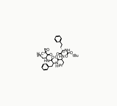 CC(C)CC(NC(=O)[C@H](CCc1ccccc1)NC(=O)OC(C)(C)C)C(=O)NC(Cc1ccccc1)C(=O)NC(CC(C)C)C(=O)[C@@]1(C)CO1